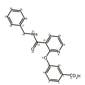 O=C(O)c1cccc(Oc2ncccc2C(=O)NCc2ccccc2)c1